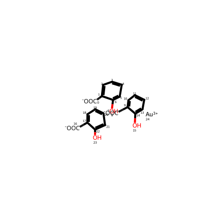 O=C([O-])c1ccccc1O.O=C([O-])c1ccccc1O.O=C([O-])c1ccccc1O.[Au+3]